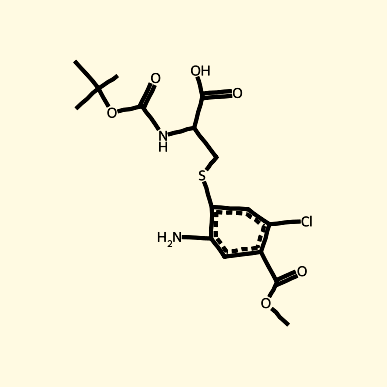 COC(=O)c1cc(N)c(SCC(NC(=O)OC(C)(C)C)C(=O)O)cc1Cl